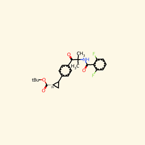 CC(C)(C)OC(=O)[C@H]1CC1c1ccc(C(=O)C(C)(C)NC(=O)c2c(F)cccc2F)cc1